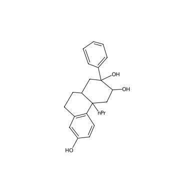 CCCC12CC(O)C(O)(c3ccccc3)CC1CCc1cc(O)ccc12